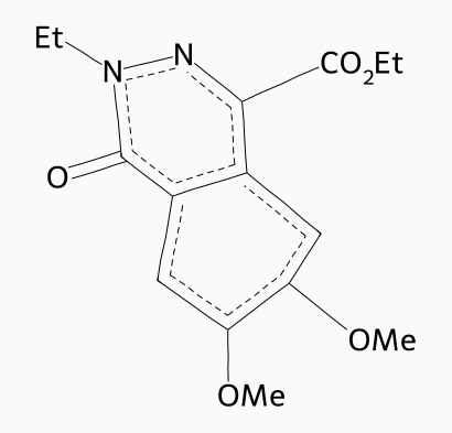 CCOC(=O)c1nn(CC)c(=O)c2cc(OC)c(OC)cc12